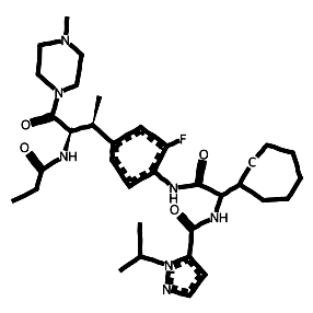 CCC(=O)N[C@@H](C(=O)N1CCN(C)CC1)[C@@H](C)c1ccc(NC(=O)C(NC(=O)c2ccnn2C(C)C)C2CCCCCC2)c(F)c1